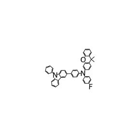 CC1(C)c2ccccc2Oc2cc(N(c3ccc(F)cc3)c3ccc(-c4ccc5c(c4)c4ccccc4n5-c4ccccc4)cc3)ccc21